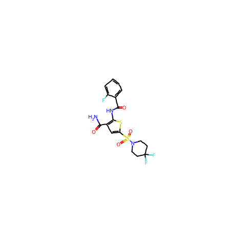 NC(=O)c1cc(S(=O)(=O)N2CCC(F)(F)CC2)sc1NC(=O)c1ccccc1F